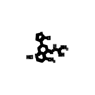 Cc1ccnc2c1C(=NNC(=N)N)CC(c1ccsc1Cl)C2.Cl